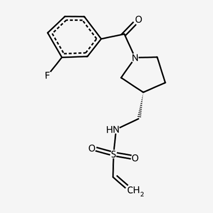 C=CS(=O)(=O)NC[C@H]1CCN(C(=O)c2cccc(F)c2)C1